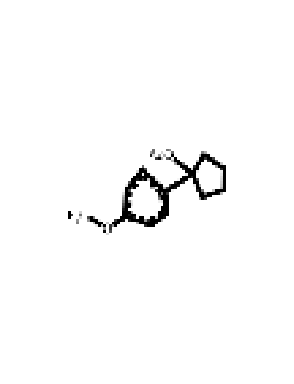 CC(=O)OC1(c2ccc(OC(F)(F)F)cc2)CCCC1